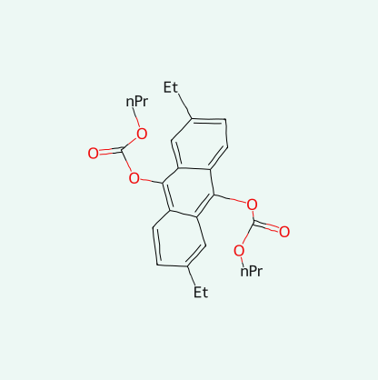 CCCOC(=O)Oc1c2ccc(CC)cc2c(OC(=O)OCCC)c2ccc(CC)cc12